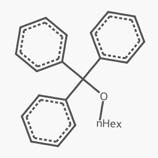 CCCCCCOC(c1ccccc1)(c1ccccc1)c1ccccc1